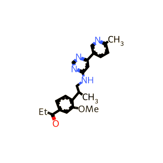 CCC(=O)c1ccc(C(C)CNc2cc(-c3ccc(C)nc3)ncn2)c(OC)c1